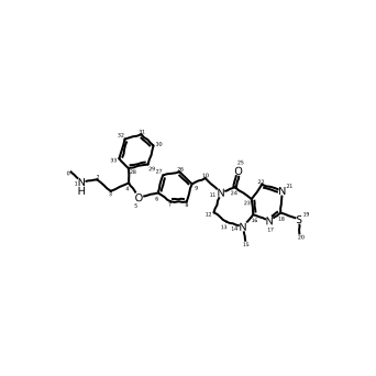 CNCCC(Oc1ccc(CN2CCN(C)c3nc(SC)ncc3C2=O)cc1)c1ccccc1